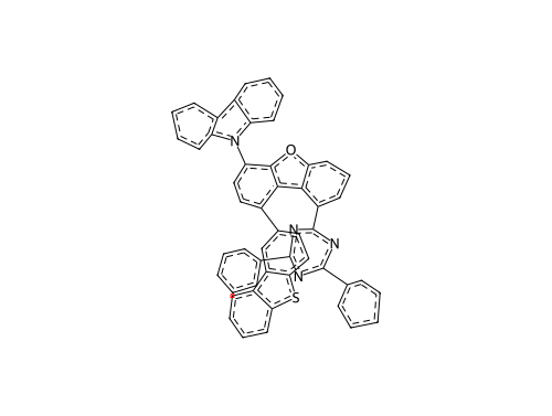 c1ccc(-c2nc(-c3ccccc3)nc(-c3cccc4oc5c(-n6c7ccccc7c7ccccc76)ccc(-c6ccc7sc8ccccc8c7c6)c5c34)n2)cc1